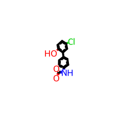 O=c1[nH]c2ccc(-c3cc(Cl)ccc3O)cc2o1